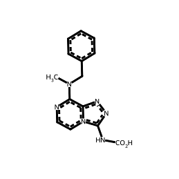 CN(Cc1ccccc1)c1nccn2c(NC(=O)O)nnc12